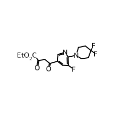 CCOC(=O)C(=O)CC(=O)c1cnc(N2CCC(F)(F)CC2)c(F)c1